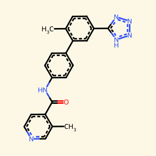 Cc1cnccc1C(=O)Nc1ccc(-c2cc(-c3nnn[nH]3)ccc2C)cc1